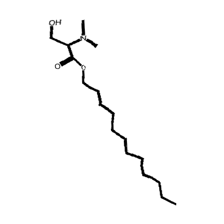 CCCCCCCCCCCCOC(=O)C(CO)N(C)C